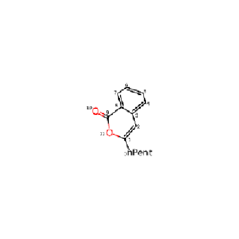 CCCCCc1cc2ccccc2c(=O)o1